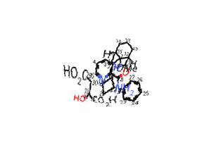 COC1(c2cccnc2C(N)=O)[C@@H]2CCC[C@H]1CN([C@H]1CC[C@H]1c1ccccc1)C2.O=C(O)CC(O)C(=O)O